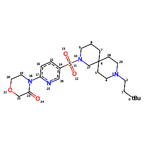 CC(C)(C)CCN1CCC2(CCCN(S(=O)(=O)c3ccc(N4CCOCC4=O)nc3)C2)CC1